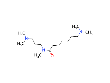 CN(C)CCCCCCC(=O)N(C)CCCN(C)C